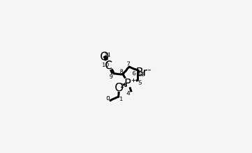 CCO[P+]1(C)CCCC1C=C=O.[Br-]